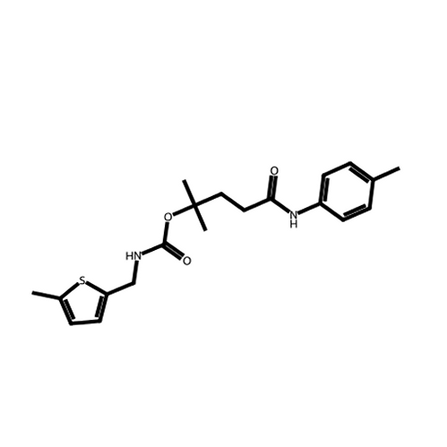 Cc1ccc(NC(=O)CCC(C)(C)OC(=O)NCc2ccc(C)s2)cc1